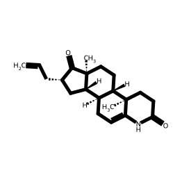 C=CC[C@H]1C[C@H]2[C@@H]3CC=C4NC(=O)CC[C@]4(C)[C@H]3CC[C@]2(C)C1=O